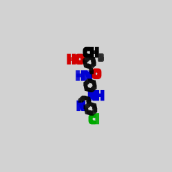 Cc1ccc(C(=O)N[C@H]2CC[C@@H](Nc3ccnc4cc(Cl)ccc34)CC2)cc1O